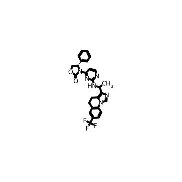 CC(Nc1nccc(N2C(=O)OC[C@@H]2c2ccccc2)n1)c1ncn2c1CCc1cc(C(F)(F)F)ccc1-2